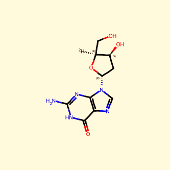 [2H][C@@]1(CO)O[C@@H](n2cnc3c(=O)[nH]c(N)nc32)C[C@@H]1O